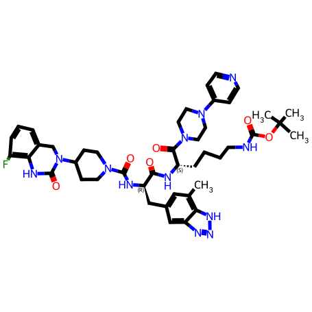 Cc1cc(C[C@@H](NC(=O)N2CCC(N3Cc4cccc(F)c4NC3=O)CC2)C(=O)N[C@@H](CCCCNC(=O)OC(C)(C)C)C(=O)N2CCN(c3ccncc3)CC2)cc2nn[nH]c12